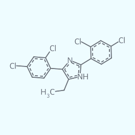 CCc1[nH]c(-c2ccc(Cl)cc2Cl)nc1-c1ccc(Cl)cc1Cl